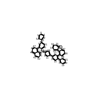 c1ccc(-c2ccc(N(c3ccc(-c4ccc(-c5ccccc5)c(-c5cccc6oc7ccccc7c56)c4)cc3)c3cccc4ccccc34)cc2)cc1